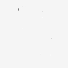 CCN(C(=O)O)c1cccc(Cn2nc(-c3ccc(-c4noc(C)n4)cc3)ccc2=O)c1